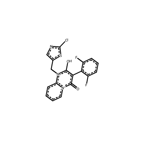 O=c1c(-c2c(F)cccc2F)c(O)n(Cc2cnc(Cl)s2)c2cccc[n+]12